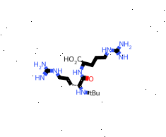 CC(C)(C)N[C@H](CCCNC(=N)N)C(=O)N[C@H](CCCNC(=N)N)C(=O)O